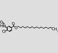 CCCCCCCCCCCCCCCCOC(=O)c1ccc(Cl)c(NC=O)c1